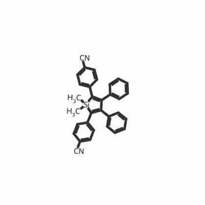 C[Si]1(C)C(c2ccc(C#N)cc2)=C(c2ccccc2)C(c2ccccc2)=C1c1ccc(C#N)cc1